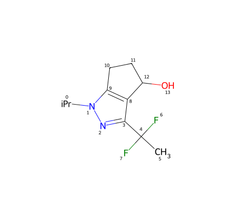 CC(C)n1nc(C(C)(F)F)c2c1CCC2O